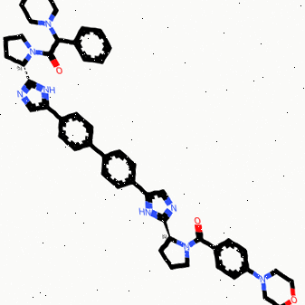 O=C(c1ccc(N2CCOCC2)cc1)N1CCC[C@H]1c1ncc(-c2ccc(-c3ccc(-c4cnc([C@@H]5CCCN5C(=O)C(c5ccccc5)N5CCCCC5)[nH]4)cc3)cc2)[nH]1